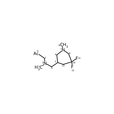 CC(=O)CN(C)CC1CN(C)CC(F)(F)C1